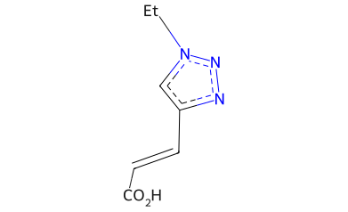 CCn1cc(/C=C/C(=O)O)nn1